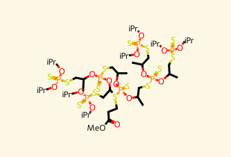 COC(=O)CCSP(=S)(OC(C)CSP(=S)(OC(C)CSP(=S)(OC(C)C)OC(C)C)OC(C)CSP(=S)(OC(C)C)OC(C)C)OC(C)CSP(=S)(OC(C)CSP(=S)(OC(C)C)OC(C)C)OC(C)CSP(=S)(OC(C)C)OC(C)C